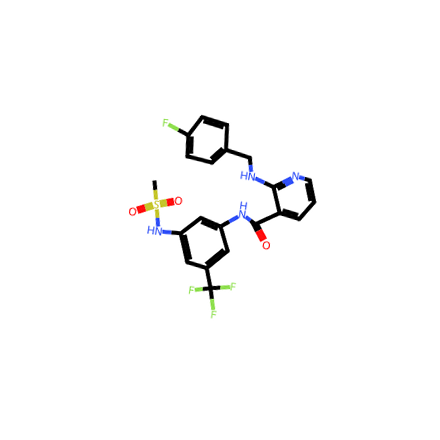 CS(=O)(=O)Nc1cc(NC(=O)c2cccnc2NCc2ccc(F)cc2)cc(C(F)(F)F)c1